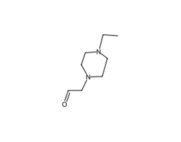 CCN1CCN(CC=O)CC1